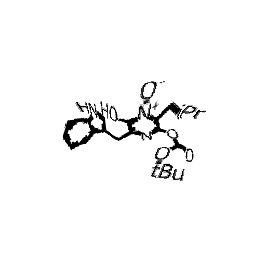 CC(C)Cc1c(OC(=O)OC(C)(C)C)nc(Cc2c[nH]c3ccccc23)c(O)[n+]1[O-]